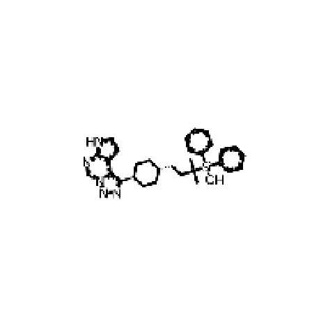 CC(C)(CC[C@H]1CC[C@H](c2nnn3cnc4[nH]ccc4c23)CC1)[Si](O)(c1ccccc1)c1ccccc1